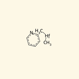 [CH3][Hf][CH3].c1ccncc1